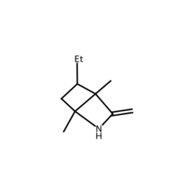 C=C1NC2(C)CC(CC)C12C